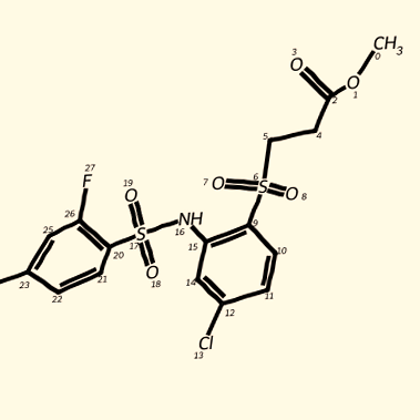 COC(=O)CCS(=O)(=O)c1ccc(Cl)cc1NS(=O)(=O)c1ccc(Cl)cc1F